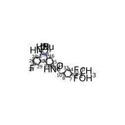 CC(O)C(F)(F)c1ccc(CC(=O)Nc2ccc(/C(C=N)=C(/NC(C)(C)C)c3ccc(F)cc3)cc2)cc1